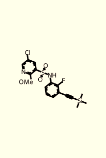 COc1ncc(Cl)cc1S(=O)(=O)Nc1cccc(C#C[Si](C)(C)C)c1F